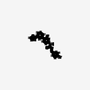 Cc1cc(NC(=O)/C=C/c2ccc(Br)cc2)ccc1-c1cccc(-c2ncco2)c1